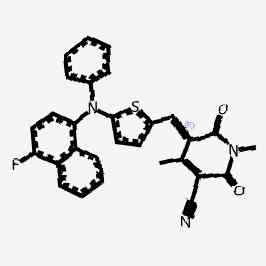 CC1=C(C#N)C(=O)N(C)C(=O)/C1=C/c1ccc(N(c2ccccc2)c2ccc(F)c3ccccc23)s1